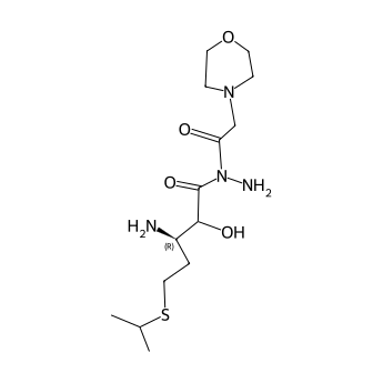 CC(C)SCC[C@@H](N)C(O)C(=O)N(N)C(=O)CN1CCOCC1